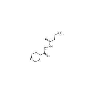 CCCC(=O)NOC(=O)C1CCOCC1